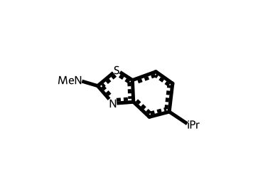 CNc1nc2cc(C(C)C)ccc2s1